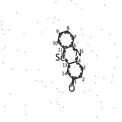 O=c1ccc2nc3ccccc3[se]c-2c1